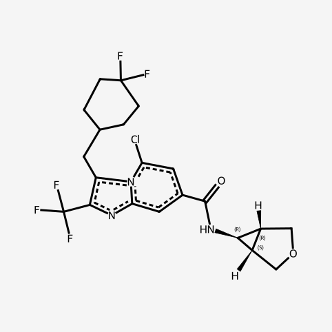 O=C(N[C@H]1[C@@H]2COC[C@@H]21)c1cc(Cl)n2c(CC3CCC(F)(F)CC3)c(C(F)(F)F)nc2c1